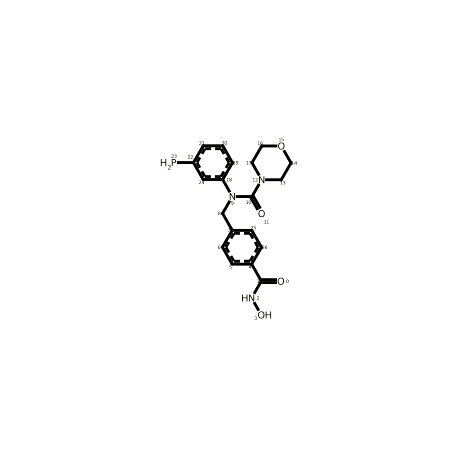 O=C(NO)c1ccc(CN(C(=O)N2CCOCC2)c2cccc(P)c2)cc1